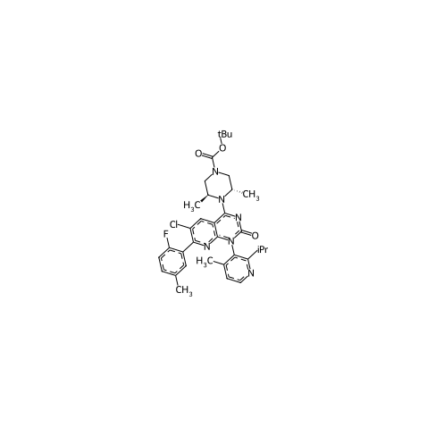 Cc1ccc(F)c(-c2nc3c(cc2Cl)c(N2[C@@H](C)CN(C(=O)OC(C)(C)C)C[C@@H]2C)nc(=O)n3-c2c(C)ccnc2C(C)C)c1